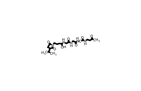 CC(=O)CCNC(=O)CNC(=O)CNC(=O)CNC(O)CCCN1C(=O)CC(C(C)C)C1=O